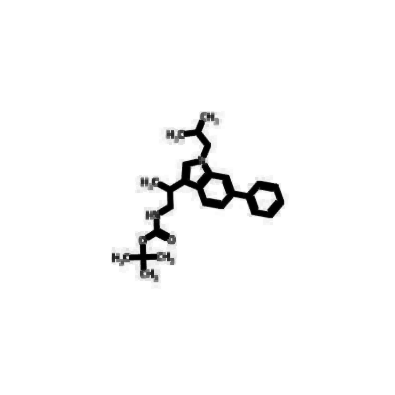 CC(C)Cn1cc(C(C)CNC(=O)OC(C)(C)C)c2ccc(-c3ccccc3)cc21